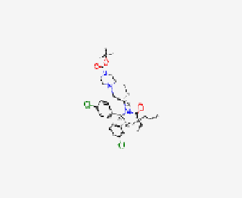 C=CC[C@@]1(C=C)C[C@H](c2cccc(Cl)c2)[C@@H](c2ccc(Cl)cc2)N([C@@H](CC)CN2CCN(C(=O)OC(C)(C)C)CC2)C1=O